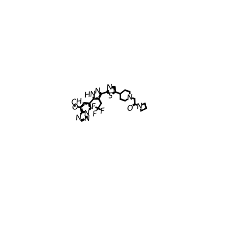 COc1cc(-c2[nH]nc(-c3ncc(C4CCN(CC(=O)N5CCC5)CC4)s3)c2CC(F)(F)F)cn2ncnc12